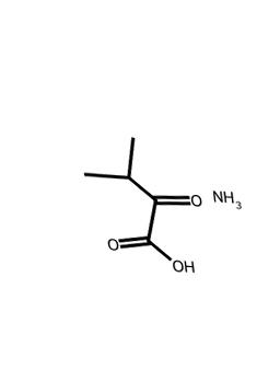 CC(C)C(=O)C(=O)O.N